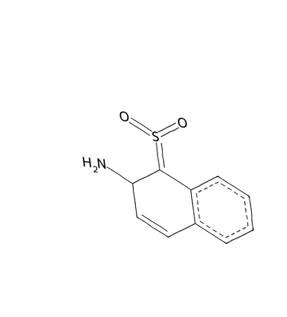 NC1C=Cc2ccccc2C1=S(=O)=O